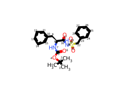 CC(C)(C)OC(=O)N[C@@H](Cc1ccccc1)C(=O)NS(=O)(=O)Cc1ccccc1